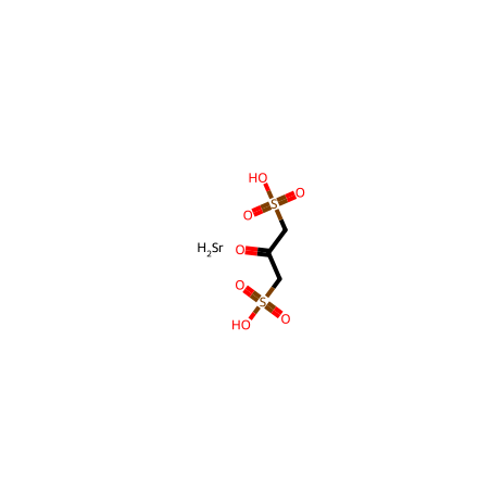 O=C(CS(=O)(=O)O)CS(=O)(=O)O.[SrH2]